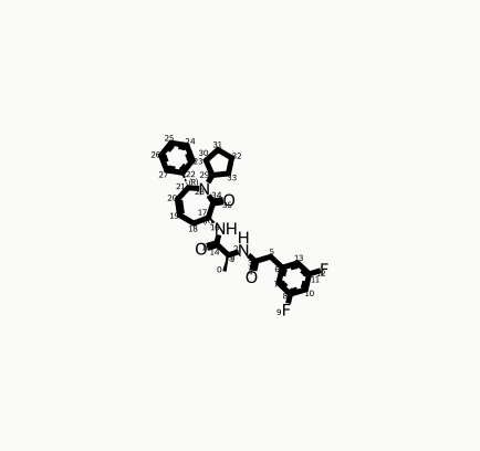 C[C@H](NC(=O)Cc1cc(F)cc(F)c1)C(=O)N[C@@H]1CC=C[C@H](c2ccccc2)N(C2CCCC2)C1=O